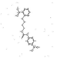 C=C(OCCSSc1ncccc1[N+](=O)[O-])Oc1ccc([N+](=O)[O-])cc1